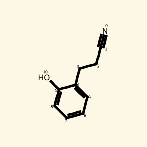 N#CCCc1ccccc1O